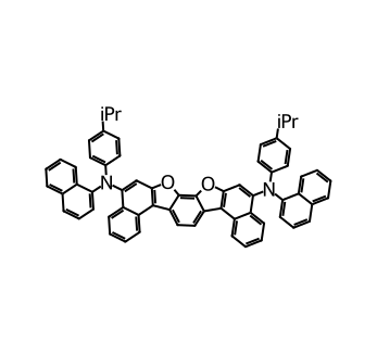 CC(C)c1ccc(N(c2cccc3ccccc23)c2cc3oc4c(ccc5c4oc4cc(N(c6ccc(C(C)C)cc6)c6cccc7ccccc67)c6ccccc6c45)c3c3ccccc23)cc1